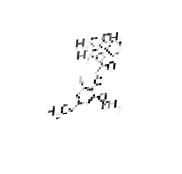 C=Cc1cc(I)c(OCC(=O)OC2(C(C)(C)C)CCCC2)c(OC)c1